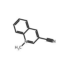 C[n+]1cc(C#N)cc2ccccc21